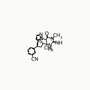 CN1C(=N)N[C@](C)(C2CC(c3cccc(C#N)c3)=CS2)C(n2cccn2)C1=O